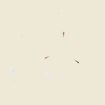 CC(=O)OC[C@H]1O[C@@H](Oc2ncccc2C2CCCN2C)[C@H](OC(C)=O)[C@@H](OC(C)=O)[C@@H]1OC(C)=O